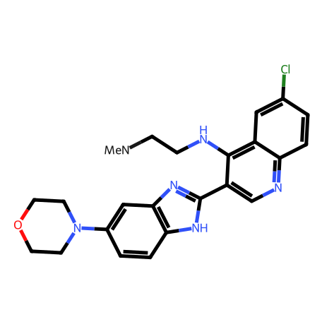 CNCCNc1c(-c2nc3cc(N4CCOCC4)ccc3[nH]2)cnc2ccc(Cl)cc12